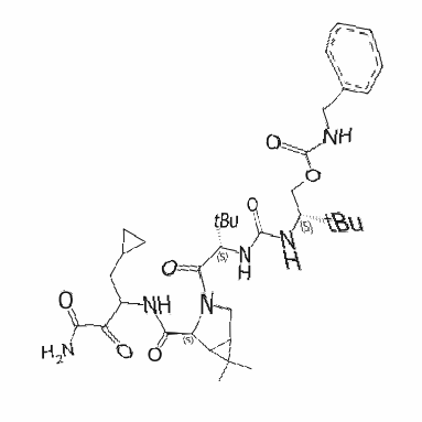 CC1(C)C2CN(C(=O)[C@@H](NC(=O)N[C@H](COC(=O)NCc3ccccc3)C(C)(C)C)C(C)(C)C)[C@H](C(=O)NC(CC3CC3)C(=O)C(N)=O)C21